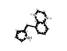 c1c[nH]c(Cc2cccc3nccnc23)c1